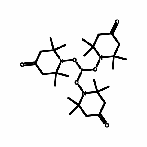 CC1(C)CC(=O)CC(C)(C)N1OP(ON1C(C)(C)CC(=O)CC1(C)C)ON1C(C)(C)CC(=O)CC1(C)C